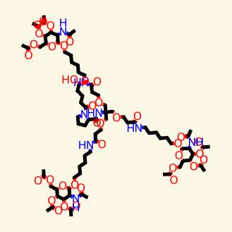 CC(=O)NC1C(OCCCCCCNC(=O)CCOCC(COCCC(=O)NCCCCCCOC2OC(COC(C)=O)C(OC(C)=O)C(OC(C)=O)C2NC(C)=O)(COCCC(=O)NCCCCCCOC2OC(COC(C)=O)C(OC(C)=O)C(OC(C)=O)C2NC(C)=O)NC(=O)C2CCCN2C(=O)CCCC(=O)O)OC(COC(C)=O)C(OC(C)=O)C1OC(C)=O